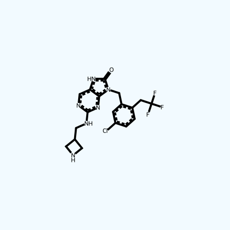 O=c1[nH]c2cnc(NCC3CNC3)nc2n1Cc1cc(Cl)ccc1CC(F)(F)F